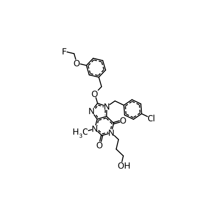 Cn1c(=O)n(CCCO)c(=O)c2c1nc(OCc1cccc(OCF)c1)n2Cc1ccc(Cl)cc1